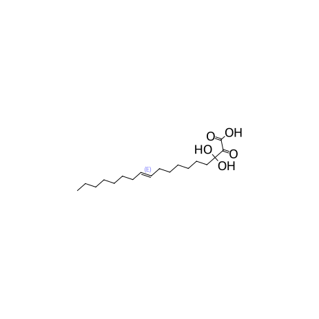 CCCCCCC/C=C/CCCCCCC(O)(O)C(=O)C(=O)O